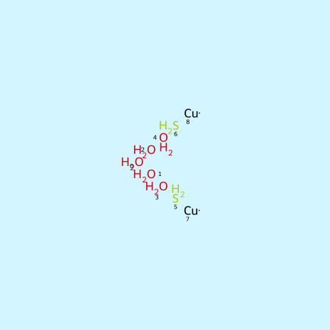 O.O.O.O.O.S.S.[Cu].[Cu]